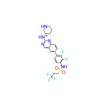 O=S(=O)(CCC(F)(F)F)Nc1ccc(-c2ccc3nc(N[C@H]4CCCNC4)ncc3c2)c(F)c1F